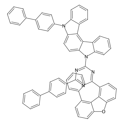 c1ccc(-c2ccc(-c3nc(-c4cccc5oc6cccc(-c7ccccc7)c6c45)nc(-n4c5ccccc5c5c6c7ccccc7n(-c7ccc(-c8ccccc8)cc7)c6ccc54)n3)cc2)cc1